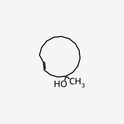 CC1(O)CC/C=C/CCCCCCCCCCC1